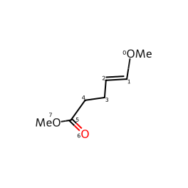 COC=CCCC(=O)OC